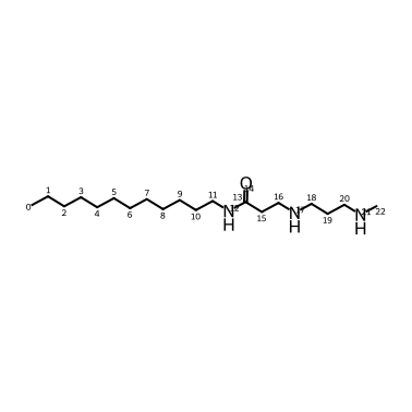 CCCCCCCCCCCCNC(=O)CCNCCCNC